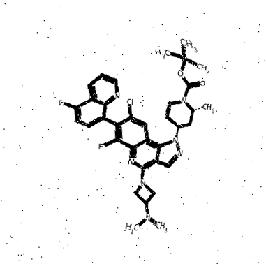 C[C@@H]1C[C@@H](n2ncc3c(N4CC(N(C)C)C4)nc4c(F)c(-c5ccc(F)c6cccnc56)c(Cl)cc4c32)CCN1C(=O)OC(C)(C)C